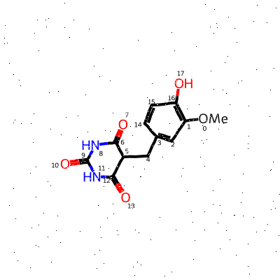 COc1cc(CC2C(=O)NC(=O)NC2=O)ccc1O